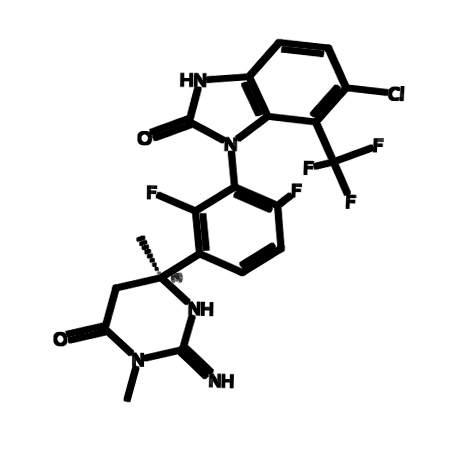 CN1C(=N)N[C@](C)(c2ccc(F)c(-n3c(=O)[nH]c4ccc(Cl)c(C(F)(F)F)c43)c2F)CC1=O